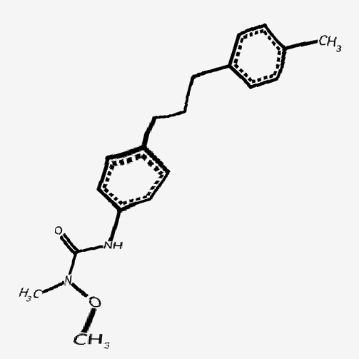 CON(C)C(=O)Nc1ccc(CCCc2ccc(C)cc2)cc1